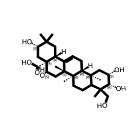 CC1(C)C[C@@H]2C3=CC[C@@H]4[C@@]5(C)C[C@H](O)[C@H](O)C(C)(CO)C5CC[C@@]4(C)[C@]3(C)C[C@H](O)[C@@]2(C(=O)O)C[C@@H]1O